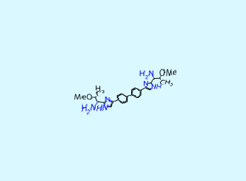 COC(C)C(N)c1nc(-c2ccc(-c3ccc(-c4c[nH]c(C(N)C(C)OC)n4)cc3)cc2)c[nH]1